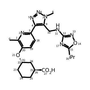 Cc1nc(-c2nnn(C)c2CNc2noc(C(C)C)n2)ccc1O[C@H]1CCC[C@H](C(=O)O)C1